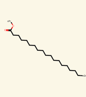 CCCCCCCCCCCCCCCCCCCCCCCCCCCC(=O)OCCC